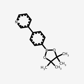 CC1(C)OB(c2ccc(-c3cccnc3)cc2)OC1(C)C